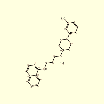 Cl.FC(F)(F)c1cccc(N2CCN(CCCCNc3nccc4ccccc34)CC2)c1